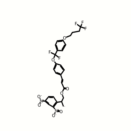 [CH2]C(COC(=O)/C=C/c1ccc(OC(F)(F)c2ccc(OCCCC(F)(F)F)cc2)cc1)c1ccc([N+](=O)[O-])cc1[N+](=O)[O-]